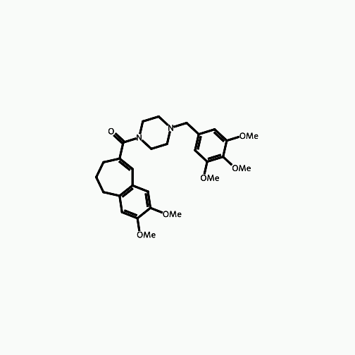 COc1cc2c(cc1OC)CCCC(C(=O)N1CCN(Cc3cc(OC)c(OC)c(OC)c3)CC1)=C2